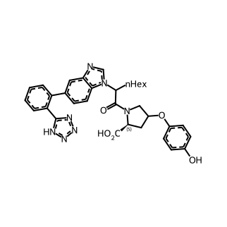 CCCCCCC(C(=O)N1CC(Oc2ccc(O)cc2)C[C@H]1C(=O)O)n1cnc2cc(-c3ccccc3-c3nnn[nH]3)ccc21